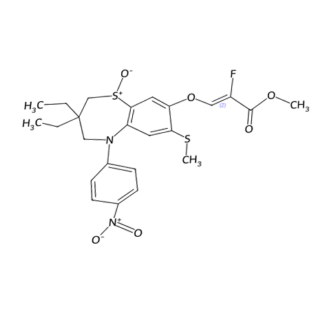 CCC1(CC)CN(c2ccc([N+](=O)[O-])cc2)c2cc(SC)c(O/C=C(\F)C(=O)OC)cc2[S+]([O-])C1